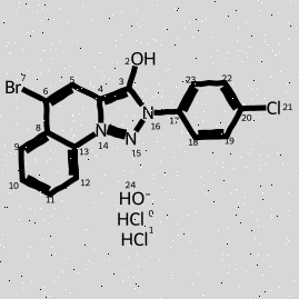 Cl.Cl.Oc1c2cc(Br)c3ccccc3[n+]2nn1-c1ccc(Cl)cc1.[OH-]